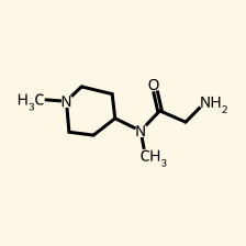 CN1CCC(N(C)C(=O)CN)CC1